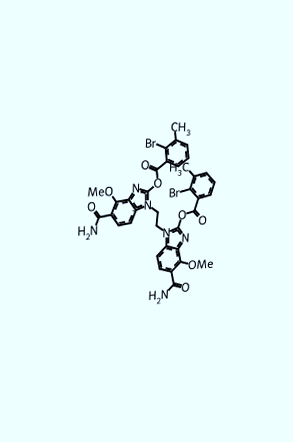 COc1c(C(N)=O)ccc2c1nc(OC(=O)c1cccc(C)c1Br)n2CCn1c(OC(=O)c2cccc(C)c2Br)nc2c(OC)c(C(N)=O)ccc21